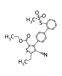 CCOC(=O)c1sc(CC)c(C#N)c1-c1ccc(-c2ccccc2SS(C)(=O)=O)cc1